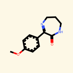 COc1ccc(C2=NCCCNC2=O)cc1